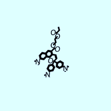 CCC(=O)OCCOC(=O)c1cc2ccc(N(C)C)cc2c2c1C=CC(c1ccc(N(C)C)cc1)(c1ccc(N(C)C)cc1)O2